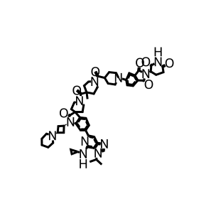 CC(C)n1cnc2cc(-c3ccc4c(c3)N([C@H]3C[C@@H](N5CCCCC5)C3)C(=O)C43CCN(C(=O)C4(C)CCN(C(=O)C5CCN(c6ccc7c(c6)C(=O)N(C6CCC(=O)NC6=O)C7=O)CC5)CC4)CC3)nc(NC3CC3)c21